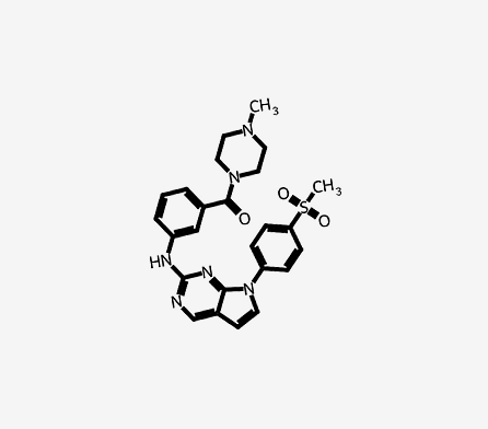 CN1CCN(C(=O)c2cccc(Nc3ncc4ccn(-c5ccc(S(C)(=O)=O)cc5)c4n3)c2)CC1